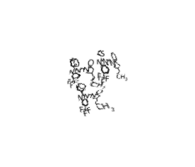 CCCC1CC(=O)N(Cn2c(-c3ccco3)nc3cc(C(F)(F)F)ccc32)C1.CCCC1CC(=O)N(Cn2c(-c3cccs3)nc3cc(C(F)(F)F)ccc32)C1.CCCC1CC(=O)N(Cn2c(-c3ccoc3)nc3cc(C(F)(F)F)ccc32)C1